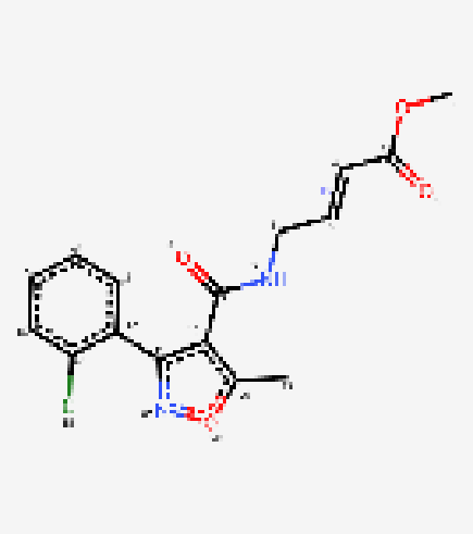 COC(=O)/C=C/CNC(=O)c1c(-c2ccccc2Cl)noc1C